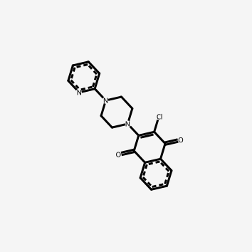 O=C1C(Cl)=C(N2CCN(c3ccccn3)CC2)C(=O)c2ccccc21